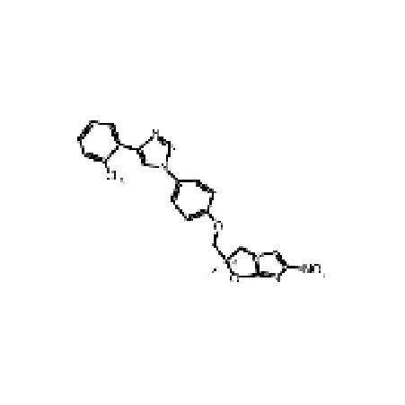 C[C@]1(COc2ccc(-n3cc(-c4ccccc4C(F)(F)F)nn3)cc2)Cn2cc([N+](=O)[O-])nc2O1